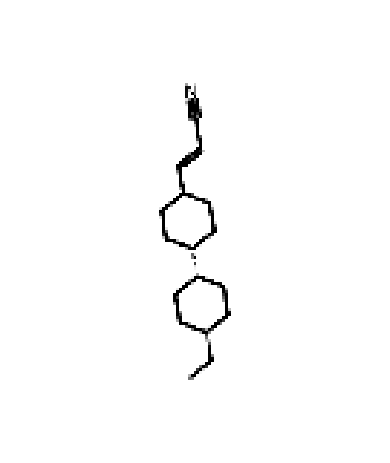 CC[C@H]1CC[C@H](C2CCC(C=CC#N)CC2)CC1